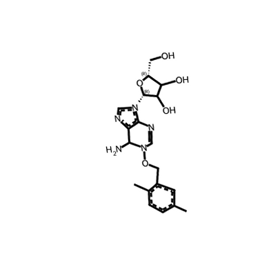 Cc1ccc(C)c(CON2C=Nc3c(ncn3[C@@H]3O[C@H](CO)C(O)C3O)C2N)c1